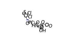 COc1ccc(C(=O)NC[C@@H](CC(=O)O)NC(=O)C2CCN(C(=O)/C=C/c3cc4ccsc4c(Cl)c3Cl)CC2)cc1